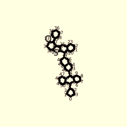 c1ccc(-c2c3ccccc3c(-c3ccc4cc(-c5c6ccccc6cc6c5sc5ccc7oc8ccccc8c7c56)ccc4c3)c3ccccc23)cc1